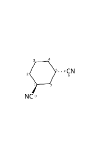 N#C[C@H]1CCC[C@H](C#N)C1